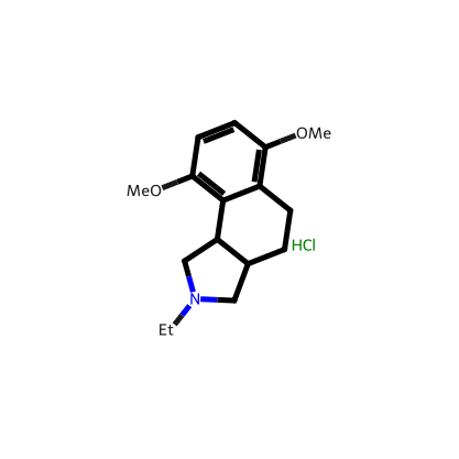 CCN1CC2CCc3c(OC)ccc(OC)c3C2C1.Cl